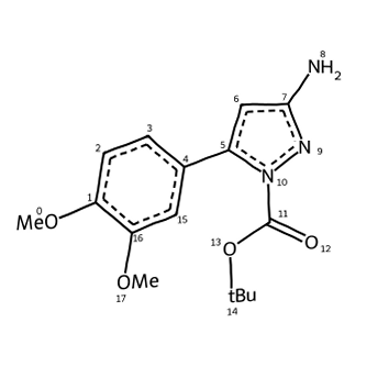 COc1ccc(-c2cc(N)nn2C(=O)OC(C)(C)C)cc1OC